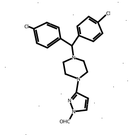 O=Cn1ccc(N2CCN(C(c3ccc(Cl)cc3)c3ccc(Cl)cc3)CC2)n1